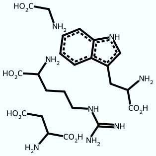 N=C(N)NCCCC(N)C(=O)O.NC(CC(=O)O)C(=O)O.NC(Cc1c[nH]c2ccccc12)C(=O)O.NCC(=O)O